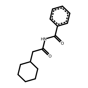 O=C(CC1CCCCC1)NC(=O)c1ccccc1